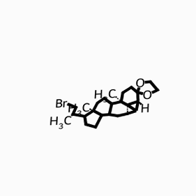 C[C@H](CBr)C1CCC2C3CC4C5[C@H]6C7(CC[C@](C)(C3CC[C@@]21C)[C@]456)OCCO7